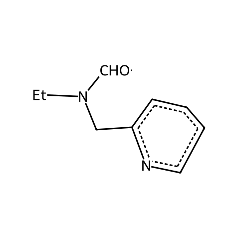 CCN([C]=O)Cc1ccccn1